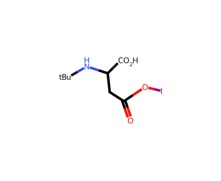 CC(C)(C)NC(CC(=O)OI)C(=O)O